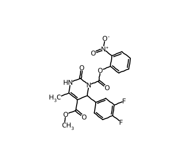 COC(=O)C1=C(C)NC(=O)N(C(=O)Oc2ccccc2[N+](=O)[O-])C1c1ccc(F)c(F)c1